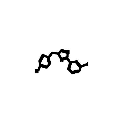 Brc1ccc(CC2C=NC(c3cccc(I)c3)=N2)cc1